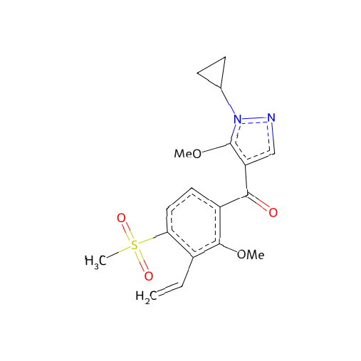 C=Cc1c(S(C)(=O)=O)ccc(C(=O)c2cnn(C3CC3)c2OC)c1OC